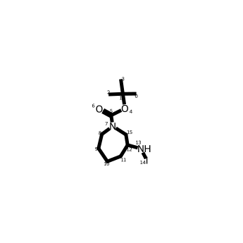 CC(C)(C)OC(=O)N1CCCCC(NI)C1